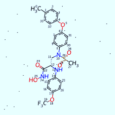 Cc1ccc(Oc2ccc(N(C[C@H](Nc3ccc(OC(F)(F)F)cc3)C(=O)NO)S(C)(=O)=O)cc2)cc1